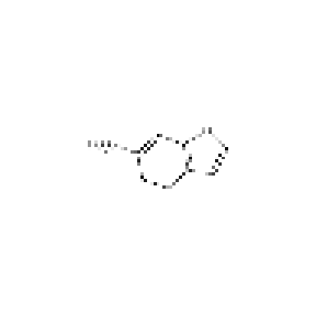 O=C(O)C1=Cc2occc2CC1